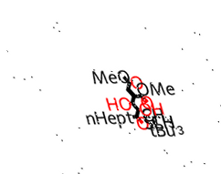 CCCCCCCC(O[Si](C)(C)C(C)(C)C)C(O)C(O)C(=CC(=O)OC)C(=O)OC